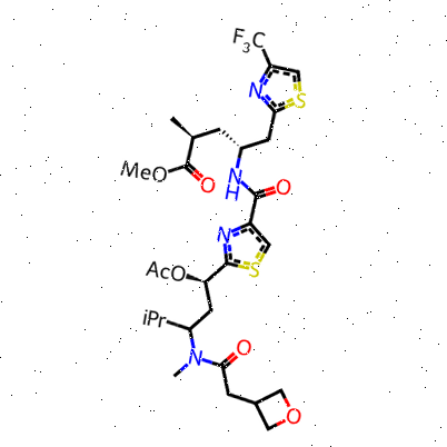 COC(=O)[C@@H](C)C[C@H](Cc1nc(C(F)(F)F)cs1)NC(=O)c1csc([C@@H](CC(C(C)C)N(C)C(=O)CC2COC2)OC(C)=O)n1